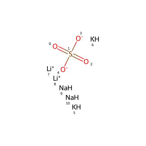 O=S(=O)([O-])[O-].[KH].[KH].[Li+].[Li+].[NaH].[NaH]